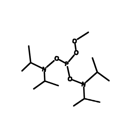 COOP(ON(C(C)C)C(C)C)ON(C(C)C)C(C)C